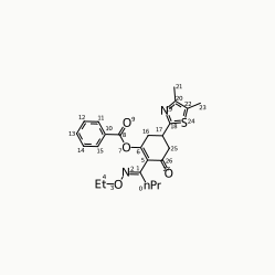 CCC/C(=N\OCC)C1=C(OC(=O)c2ccccc2)CC(c2nc(C)c(C)s2)CC1=O